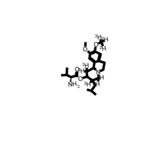 [2H]C([2H])([2H])Oc1cc2c(cc1OC)C1N(CC2)C([2H])([2H])C([2H])(CC(C)C)C(OC(=O)[C@@H](N)C(C)C)C1([2H])[2H]